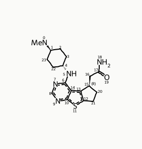 CN[C@H]1CC[C@H](Nc2ncnc3sc4c(c23)[C@@H](CC(N)=O)CC4)CC1